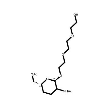 CC(=O)NC1[CH][CH][C@H](COC(C)=O)O[C@H]1OCCOCCOCCO